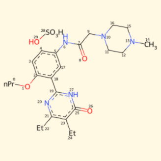 CCCOc1ccc(NC(=O)CN2CCN(C)CC2)cc1-c1nc(CC)c(CC)c(=O)[nH]1.O=S(=O)(O)O